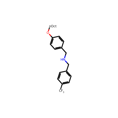 CCCCCCCCOc1ccc(CNCc2ccc(C(F)(F)F)cc2)cc1